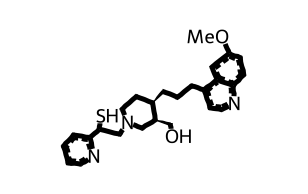 COc1ccc2nccc(CCC[C@@H]3CCN(CC(S)c4ccccn4)C[C@@H]3CO)c2c1